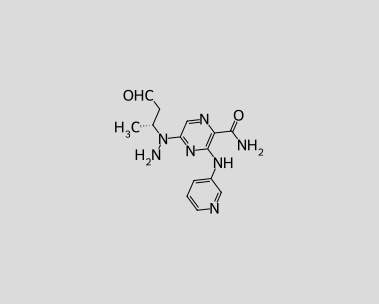 C[C@H](CC=O)N(N)c1cnc(C(N)=O)c(Nc2cccnc2)n1